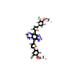 Fc1cc(-c2ccc(-c3c4c(c(-c5ccc(-c6ccc(OC(F)(F)F)c(F)c6)s5)c5nsnc35)N=S=N4)s2)ccc1OC(F)(F)F